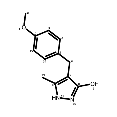 COc1ccc(Cc2c(O)n[nH]c2C)cc1